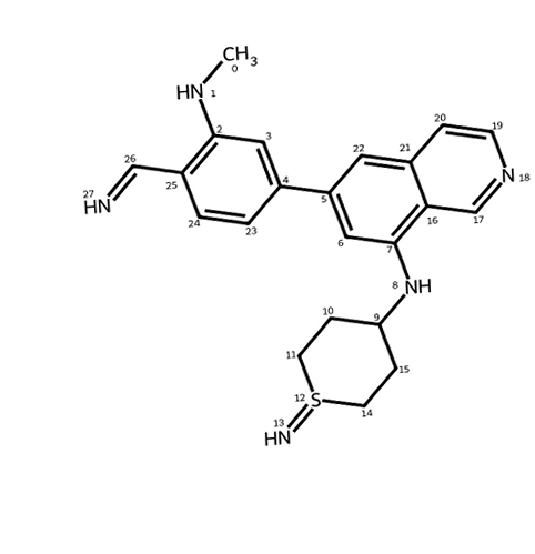 CNc1cc(-c2cc(NC3CCS(=N)CC3)c3cnccc3c2)ccc1C=N